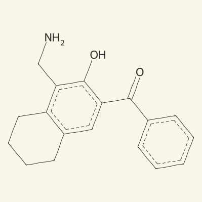 NCc1c(O)c(C(=O)c2ccccc2)cc2c1CCCC2